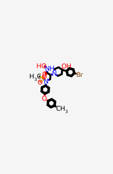 Cc1ccc(Oc2ccc(N(CC(C(=O)NO)N3CCC(O)(c4ccc(Br)cc4)CC3)S(C)(=O)=O)cc2)cc1